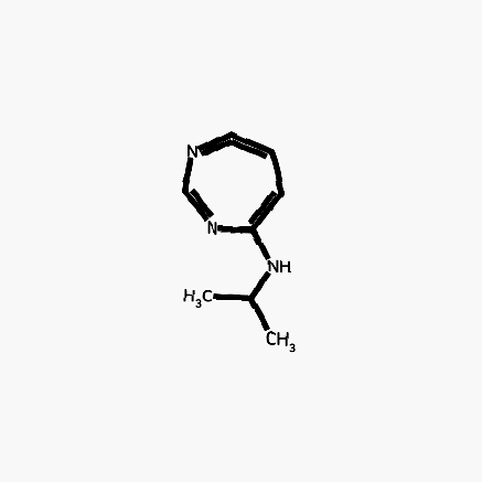 CC(C)NC1=CC=C=NC=N1